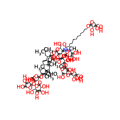 CC1O[C@@H](O[C@@H]2C(O[C@@H]3OC(C)[C@H](O)[C@H](O)C3O)[C@@H](NC(=O)CCCCCCCCCCCO[C@@H]3OC[C@@](O)(CO)C3O)C(CO)O[C@H]2OC(=O)[C@]23CCC(C)(C)CC2C2=CCC4C5(C)CC[C@H](O[C@@H]6OC[C@@H](O)[C@H](O[C@@H]7OC[C@@H](O)[C@H](O)C7O)C6O[C@@H]6OC(CO)[C@H](O)[C@H](O)C6O)[C@](C)(C=O)[C@@H]5CC[C@]4(C)[C@]2(C)CC3O)[C@@H](O)C(O)[C@H]1O[C@@H]1OC[C@@H](O)C(O[C@@H]2OC[C@](O)(CO)C2O)[C@H]1O